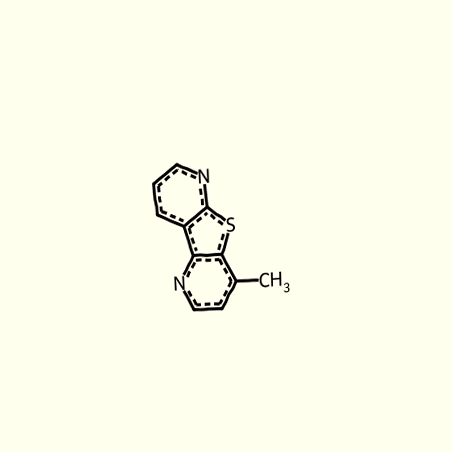 Cc1ccnc2c1sc1ncccc12